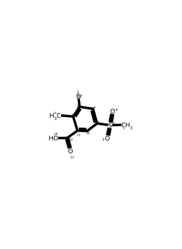 Cc1c(Br)cc(S(C)(=O)=O)cc1C(=O)O